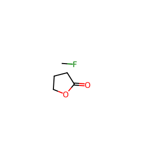 CF.O=C1CCCO1